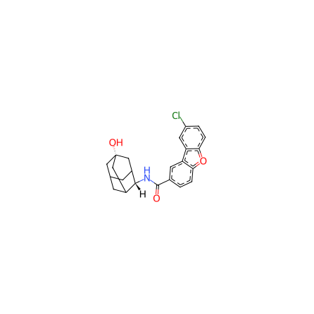 O=C(N[C@H]1C2CC3CC1C[C@@](O)(C3)C2)c1ccc2oc3ccc(Cl)cc3c2c1